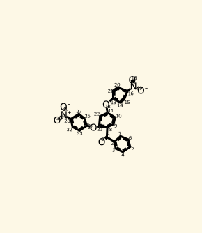 O=C(c1ccccc1)c1ccc(Oc2ccc([N+](=O)[O-])cc2)cc1Oc1ccc([N+](=O)[O-])cc1